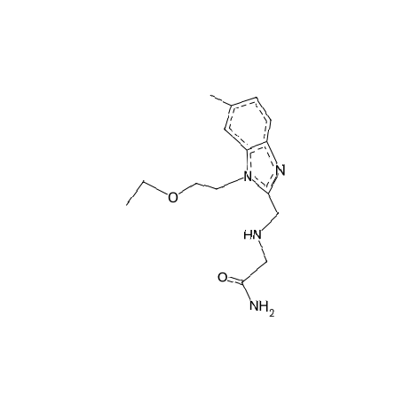 CCOCCn1c(CNCC(N)=O)nc2ccc(C)cc21